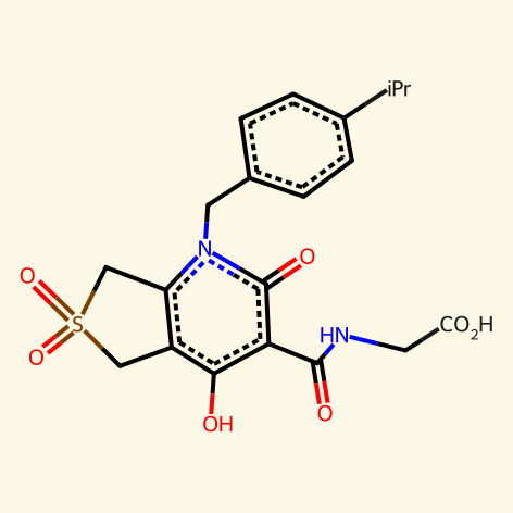 CC(C)c1ccc(Cn2c3c(c(O)c(C(=O)NCC(=O)O)c2=O)CS(=O)(=O)C3)cc1